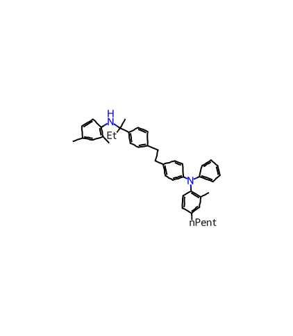 CCCCCc1ccc(N(c2ccccc2)c2ccc(CCc3ccc(C(C)(CC)Nc4ccc(C)cc4C)cc3)cc2)c(C)c1